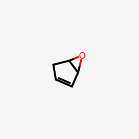 C1=CC2OC2C1